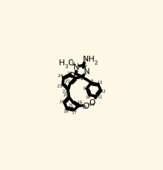 CN1C(=O)C2(N=C1N)c1ccc(cc1)OOc1cccc(c1)-c1cccc2c1